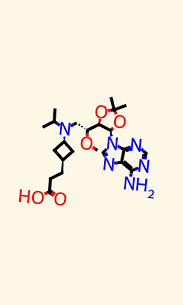 CO[C@H](CN(C(C)C)[C@H]1C[C@H](CCC(=O)O)C1)[C@H]1OC(C)(C)O[C@H]1n1cnc2c(N)ncnc21